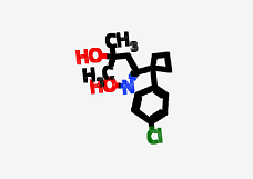 CC(C)(O)CC(=NO)C1(c2ccc(Cl)cc2)CCC1